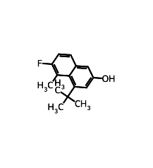 Cc1c(F)ccc2cc(O)cc(C(C)(C)C)c12